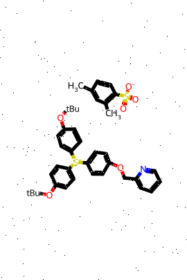 CC(C)(C)Oc1ccc([S+](c2ccc(OCc3ccccn3)cc2)c2ccc(OC(C)(C)C)cc2)cc1.Cc1ccc(S(=O)(=O)[O-])c(C)c1